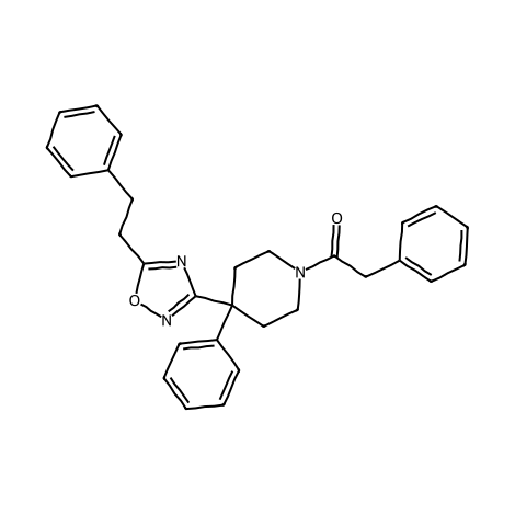 O=C(Cc1ccccc1)N1CCC(c2ccccc2)(c2noc(CCc3ccccc3)n2)CC1